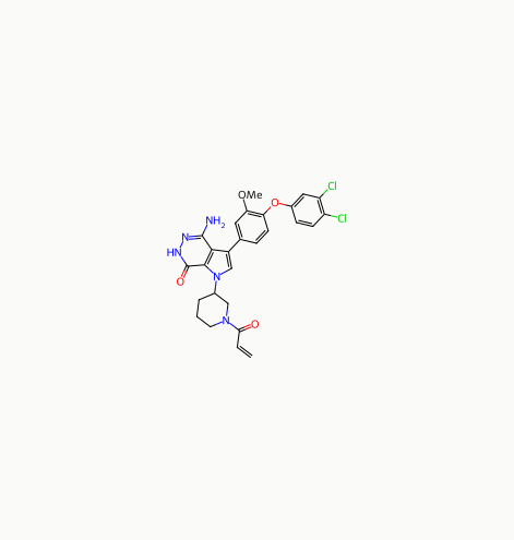 C=CC(=O)N1CCCC(n2cc(-c3ccc(Oc4ccc(Cl)c(Cl)c4)c(OC)c3)c3c(N)n[nH]c(=O)c32)C1